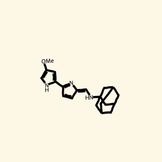 COc1c[nH]c(C2=N/C(=C/NC34CC5CC(CC(C5)C3)C4)C=C2)c1